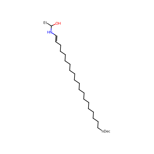 CCCCCCCCCCCCCCCCCCCCCCCCCCCCC=CNC(O)CC